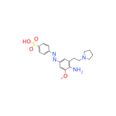 COc1cc(N=Nc2ccc(S(=O)(=O)O)cc2)cc(CCN2CCCC2)c1N